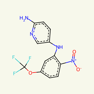 Nc1ccc(Nc2cc(OC(F)(F)F)ccc2[N+](=O)[O-])cn1